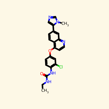 CCNC(=O)Nc1ccc(Oc2ccnc3cc(-c4cncn4C)ccc23)cc1Cl